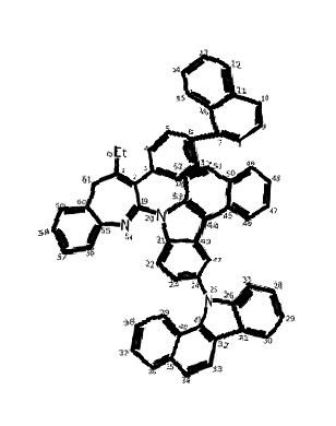 CCC1=C(c2ccc(-c3cccc4ccccc34)cc2)C(n2c3ccc(-n4c5ccccc5c5ccc6ccccc6c54)cc3c3c4ccccc4ccc32)=Nc2ccccc2C1